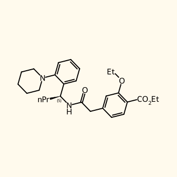 CCC[C@H](NC(=O)Cc1ccc(C(=O)OCC)c(OCC)c1)c1ccccc1N1CCCCC1